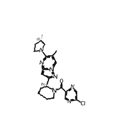 Cc1cn2nc([C@@H]3CCCCN3C(=O)c3cnc(Cl)cn3)cc2nc1N1CC[C@H](C)C1